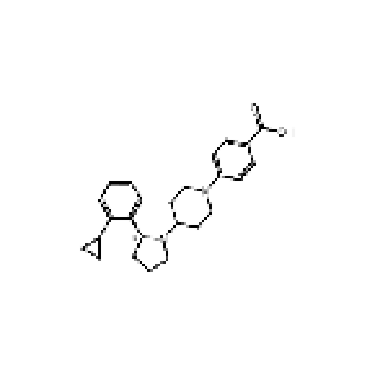 O=C(O)c1ccc(N2CCC(N3CCC[C@H]3c3ccccc3C3CC3)CC2)cc1